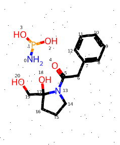 NP(O)O.O=C(Cc1ccccc1)N1CCCC1(O)CO